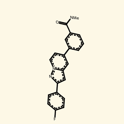 CNC(=O)c1cccc(-c2ccn3nc(-c4ccc(F)cc4)cc3c2)c1